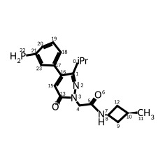 CC(C)c1nn(CC(=O)N[C@H]2C[C@H](C)C2)c(=O)cc1-c1cccc(P)c1